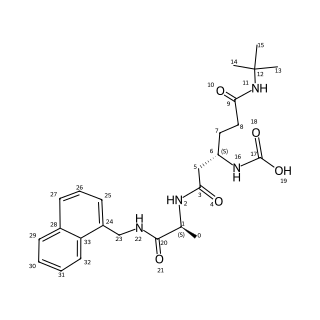 C[C@H](NC(=O)C[C@H](CCC(=O)NC(C)(C)C)NC(=O)O)C(=O)NCc1cccc2ccccc12